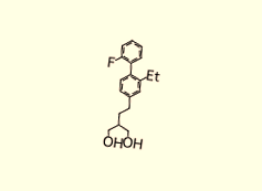 CCc1cc(CCC(CO)CO)ccc1-c1ccccc1F